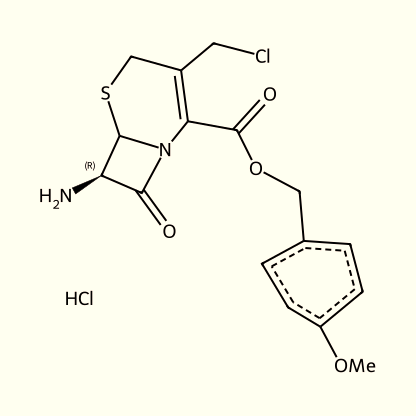 COc1ccc(COC(=O)C2=C(CCl)CSC3[C@H](N)C(=O)N23)cc1.Cl